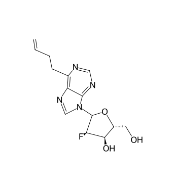 C=CCCc1ncnc2c1ncn2C1O[C@H](CO)[C@@H](O)[C@H]1F